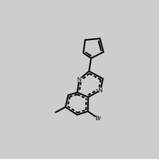 Cc1cc(Br)c2ncc(C3=CCC=C3)nc2c1